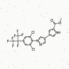 COC(=O)c1cc(-c2cnn(-c3c(Cl)cc(C(F)(C(F)(F)F)C(F)(F)F)cc3Cl)c2)c[nH]1